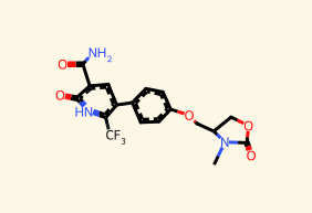 CN1C(=O)OCC1COc1ccc(-c2cc(C(N)=O)c(=O)[nH]c2C(F)(F)F)cc1